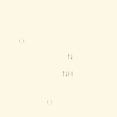 CC1(C)C2C(=O)CC(=O)NN2C1(C)C